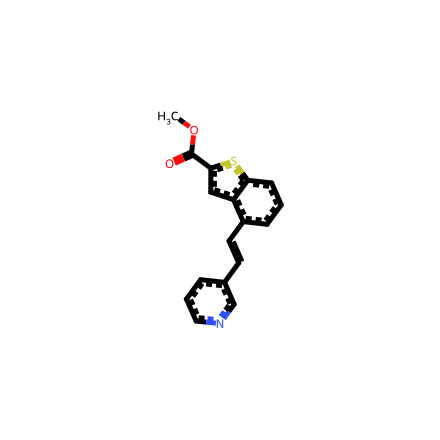 COC(=O)c1cc2c(/C=C/c3cccnc3)cccc2s1